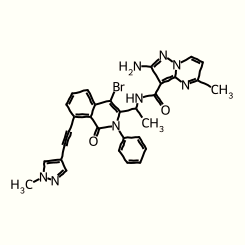 Cc1ccn2nc(N)c(C(=O)NC(C)c3c(Br)c4cccc(C#Cc5cnn(C)c5)c4c(=O)n3-c3ccccc3)c2n1